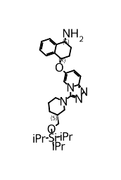 CC(C)[Si](OC[C@H]1CCCN(c2nnc3ccc(O[C@@H]4CC[C@H](N)c5ccccc54)cn23)C1)(C(C)C)C(C)C